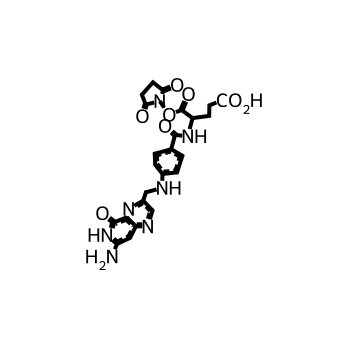 Nc1cc2ncc(CNc3ccc(C(=O)NC(CCC(=O)O)C(=O)ON4C(=O)CCC4=O)cc3)nc2c(=O)[nH]1